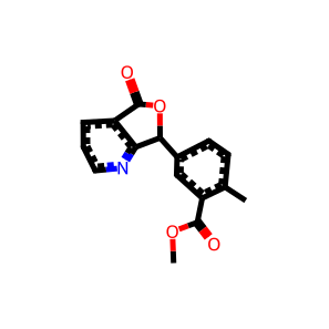 COC(=O)c1cc(C2OC(=O)c3cccnc32)ccc1C